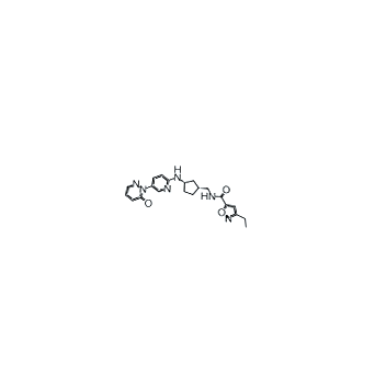 CCc1cc(C(=O)NC[C@H]2CC[C@@H](Nc3ccc(-n4ncccc4=O)cn3)C2)on1